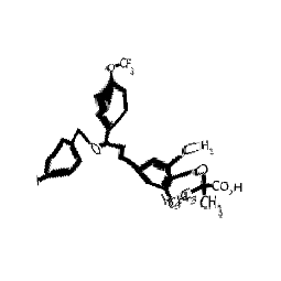 Cc1cc(CCC(OCc2ccc(I)cc2)c2ccc(OC(F)(F)F)cc2)cc(C)c1OC(C)(C)C(=O)O